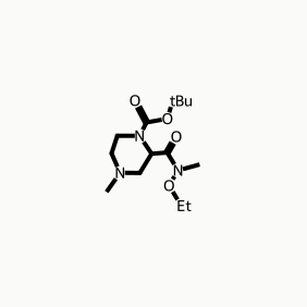 CCON(C)C(=O)C1CN(C)CCN1C(=O)OC(C)(C)C